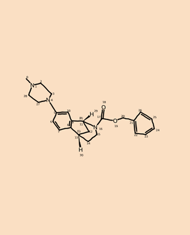 CN1CCN(c2ccc3c(c2)[C@H]2C[C@@H]3CCN2C(=O)OCc2ccccc2)CC1